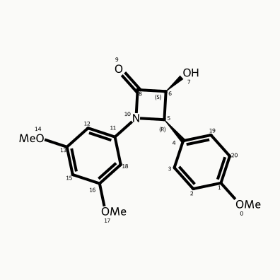 COc1ccc([C@@H]2[C@H](O)C(=O)N2c2cc(OC)cc(OC)c2)cc1